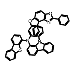 c1ccc(-c2nc3c(ccc4oc5cc(N(c6cccc7c6sc6ccccc67)c6cccc7c8ccccc8n(-c8ccccc8)c67)ccc5c43)o2)cc1